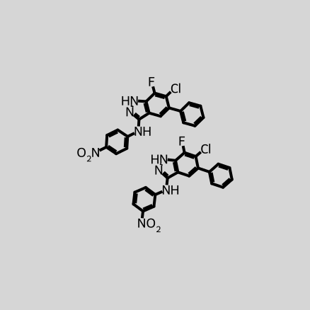 O=[N+]([O-])c1ccc(Nc2n[nH]c3c(F)c(Cl)c(-c4ccccc4)cc23)cc1.O=[N+]([O-])c1cccc(Nc2n[nH]c3c(F)c(Cl)c(-c4ccccc4)cc23)c1